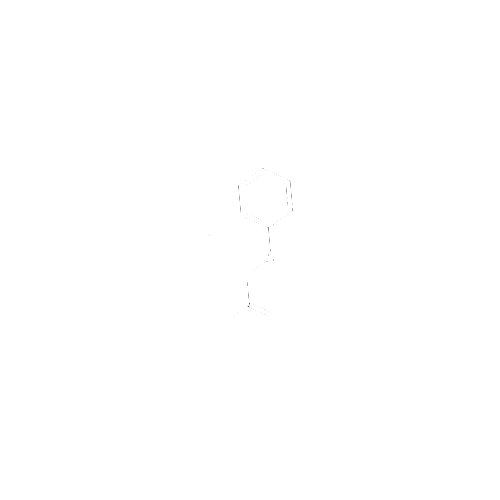 CC(=O)ONc1ccccc1.[KH]